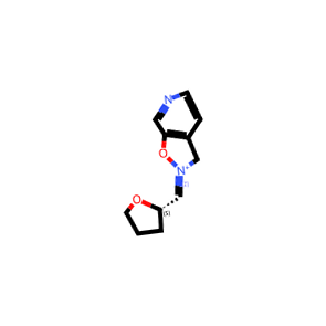 C(/[C@@H]1CCCO1)=[N+]1\Cc2ccncc2O1